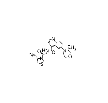 CC1COCCN1c1ccc2nccc(C(=O)NCC(=O)N3CSCC3C#N)c2c1